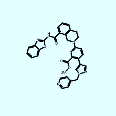 CC(C)(C)OC(=O)c1nc(N2CCc3cccc(C(=O)Nc4nc5ccccc5s4)c3C2)ccc1-c1cnn(Cc2ccncc2)c1